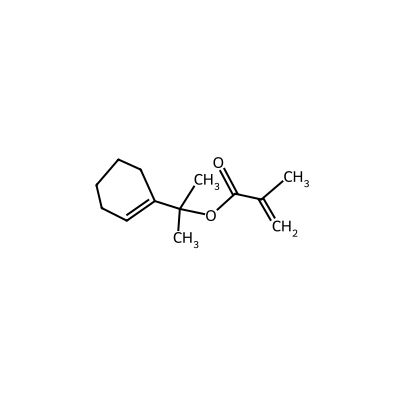 C=C(C)C(=O)OC(C)(C)C1=CCCCC1